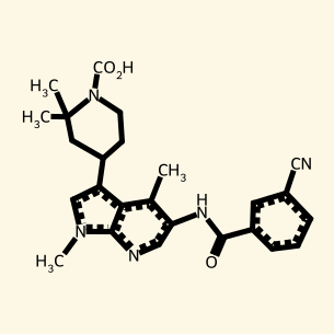 Cc1c(NC(=O)c2cccc(C#N)c2)cnc2c1c(C1CCN(C(=O)O)C(C)(C)C1)cn2C